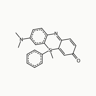 CN(C)c1ccc2c(c1)[Si](C)(c1ccccc1)C1=CC(=O)C=CC1=N2